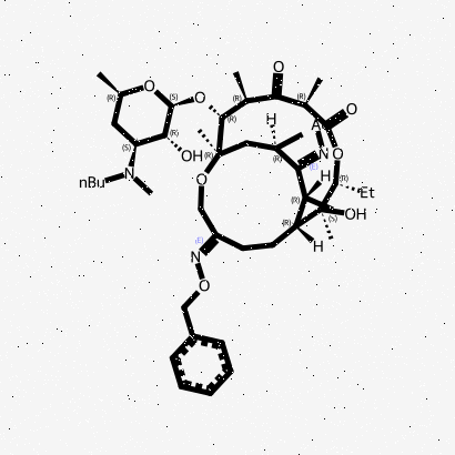 CCCCN(C)[C@H]1C[C@@H](C)O[C@@H](O[C@@H]2[C@@H](C)C(=O)[C@@H](C)C(=O)O[C@H](CC)[C@@](C)(O)[C@@H]3CC/C(=N\OCc4ccccc4)CO[C@]2(C)C[C@@H](C)/C(=N\C(C)=O)[C@@H]3C)[C@@H]1O